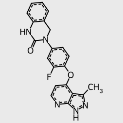 Cc1n[nH]c2nccc(Oc3ccc(N4Cc5ccccc5NC4=O)cc3F)c12